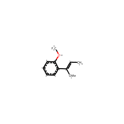 CC=C(OC)c1ccccc1OC(F)(F)F